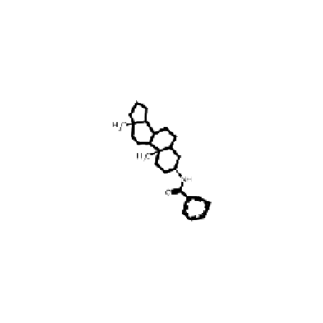 C[C@@]12CCCC1C1CCC3C[C@@H](NC(=O)c4ccccc4)CC[C@]3(C)C1CC2